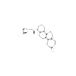 CC[C@]1(O)CC[C@H]2CC[C@@H]3[C@H](CC[C@]4(C)[C@H](C(=O)Cn5cc(C#N)cn5)CCC[C@@H]34)[C@H]2CC1